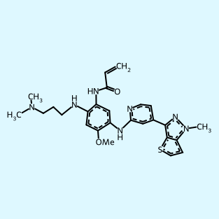 C=CC(=O)Nc1cc(Nc2cc(-c3nn(C)c4ccsc34)ccn2)c(OC)cc1NCCCN(C)C